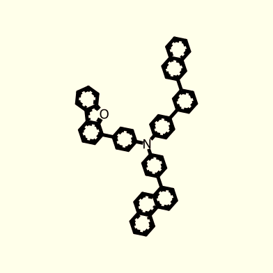 c1cc(-c2ccc(N(c3ccc(-c4cccc5c4ccc4ccccc45)cc3)c3ccc(-c4cccc5c4oc4ccccc45)cc3)cc2)cc(-c2ccc3ccccc3c2)c1